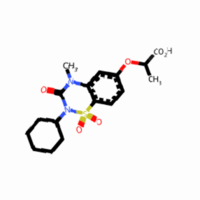 CC(Oc1ccc2c(c1)N(C)C(=O)N(C1CCCCC1)S2(=O)=O)C(=O)O